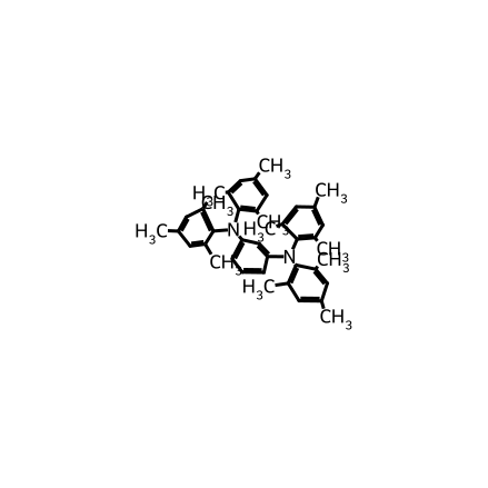 Cc1cc(C)c(N(c2cccc(N(c3c(C)cc(C)cc3C)c3c(C)cc(C)cc3C)c2)c2c(C)cc(C)cc2C)c(C)c1